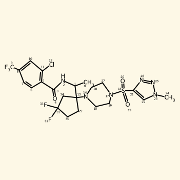 CC(NC(=O)c1ccc(C(F)(F)F)cc1Cl)C1(N2CCN(S(=O)(=O)c3cn(C)nn3)CC2)CCC(F)(F)C1